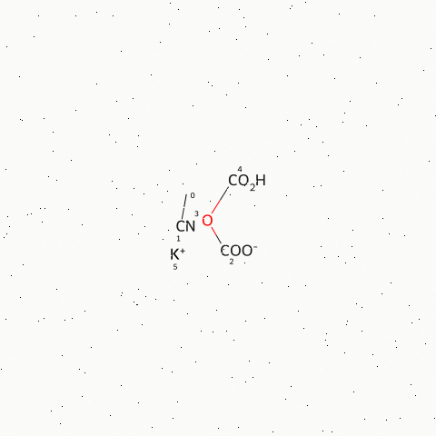 CC#N.O=C([O-])OC(=O)O.[K+]